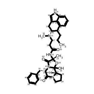 CCCC1c2cccc3[nH]cc(c23)C[C@H]1N(C)CCC(=O)N[C@]1(C)OC2(O)[C@@H]3CCCN3C(=O)[C@H](Cc3ccccc3)N2C1=O